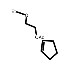 C1=CCCC1.CCOCCOC(C)=O